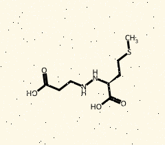 CSCC[C@H](NNCCC(=O)O)C(=O)O